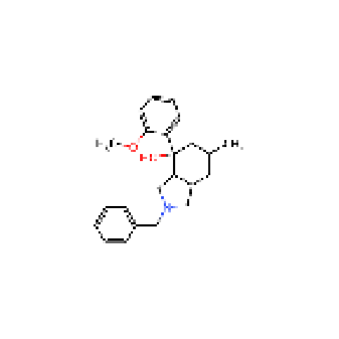 COc1ccccc1C1(O)CC(C)CC2CN(Cc3ccccc3)CC21